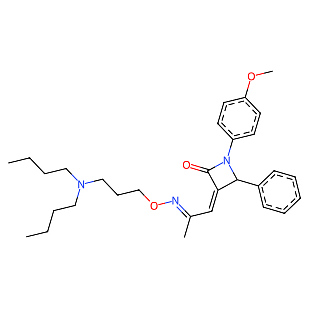 CCCCN(CCCC)CCCON=C(C)C=C1C(=O)N(c2ccc(OC)cc2)C1c1ccccc1